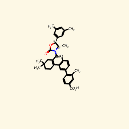 COc1ccc(-c2ccc(C(=O)O)cc2C)cc1C1=C(CN2C(=O)O[C@@H](c3cc(C)cc(C(F)(F)F)c3)[C@@H]2C)CC(C)(C)CC1